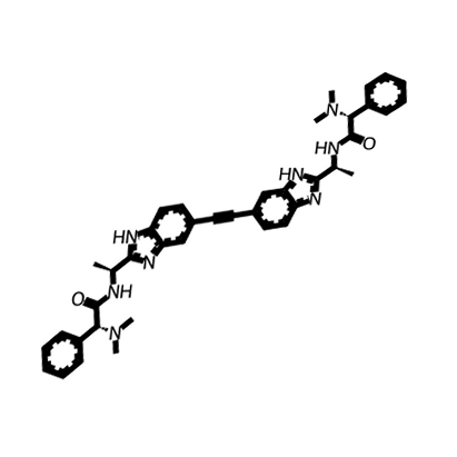 C[C@H](NC(=O)[C@@H](c1ccccc1)N(C)C)c1nc2cc(C#Cc3ccc4nc([C@H](C)NC(=O)[C@@H](c5ccccc5)N(C)C)[nH]c4c3)ccc2[nH]1